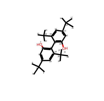 CC(C)(C)c1cc(O)c(-c2c(O)cc(C(C)(C)C)cc2C(C)(C)C)c(C(C)(C)C)c1